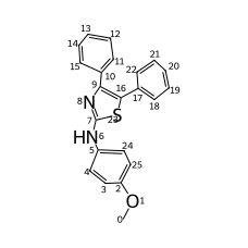 COc1ccc(Nc2nc(-c3ccccc3)c(-c3ccccc3)s2)cc1